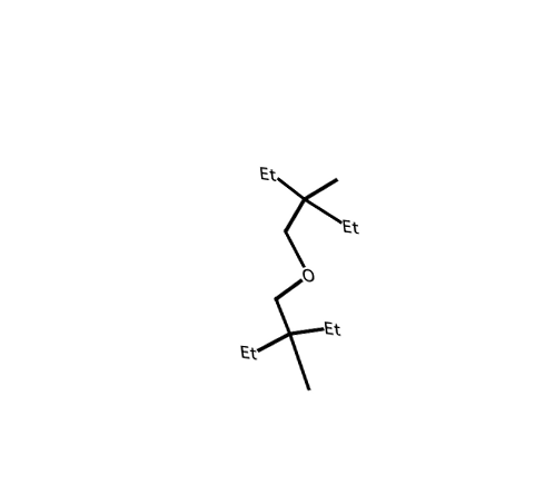 CCC(C)(CC)COCC(C)(CC)CC